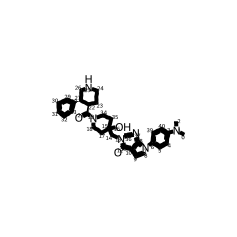 CN(C)c1ccc(-n2ccc3c(=O)n(CC4(O)CCN(C(=O)[C@@H]5CCNC[C@H]5c5ccccc5)CC4)cnc32)cc1